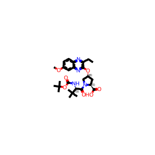 CCc1nc2ccc(OC)cc2nc1O[C@@H]1C[C@@H](C(=O)O)N(C(=O)[C@@H](NC(=O)OC(C)(C)C)C(C)(C)C)C1